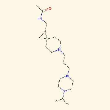 CC(=O)NCC1CC12CCN(CCCN1CCN(C(C)C)CC1)CC2